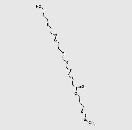 CSCSCSCOC(=O)CSCSCSCSCCOOCCSCSCO